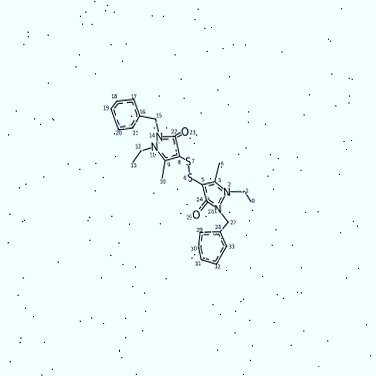 CCn1c(C)c(SSc2c(C)n(CC)n(Cc3ccccc3)c2=O)c(=O)n1Cc1ccccc1